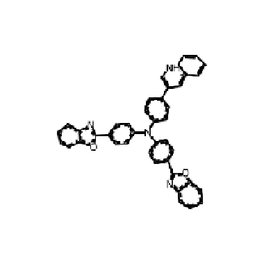 N/C=C(\C=C1\C=CC=CC1)c1ccc(N(c2ccc(-c3nc4ccccc4o3)cc2)c2ccc(-c3nc4ccccc4o3)cc2)cc1